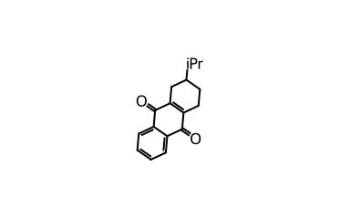 CC(C)C1CCC2=C(C1)C(=O)c1ccccc1C2=O